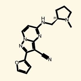 CN1CCC[C@@H]1CNc1ccn2nc(-c3ccco3)c(C#N)c2n1